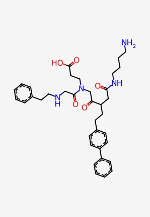 NCCCCNC(=O)CC(CCc1ccc(-c2ccccc2)cc1)C(=O)CN(CCC(=O)O)C(=O)CNCCc1ccccc1